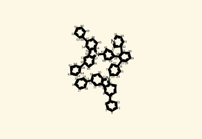 c1ccc(-c2ccc3c(c2)c2cc(-c4ccccc4)ccc2n3-c2ccc(-c3cccc(-c4cccnc4)c3-c3ccc(-n4c5ccc(-c6ccccc6)cc5c5cc(-c6ccccc6)ccc54)cc3)cc2)cc1